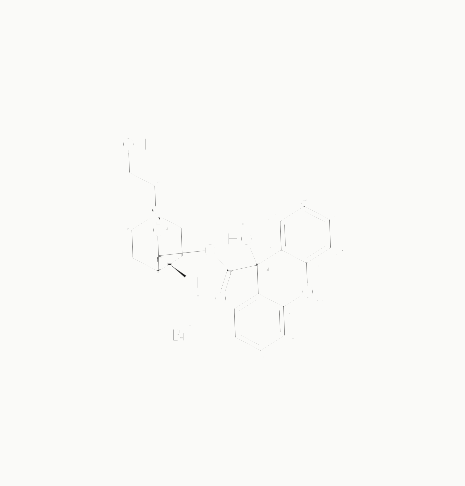 O=C(O[C@H]1C[N+]2(CCO)CCC1CC2)C1(O)c2ccccc2Oc2ccccc21.[Br-]